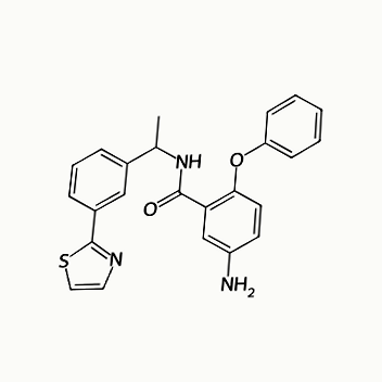 CC(NC(=O)c1cc(N)ccc1Oc1ccccc1)c1cccc(-c2nccs2)c1